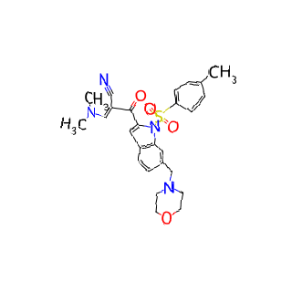 Cc1ccc(S(=O)(=O)n2c(C(=O)/C(C#N)=C/N(C)C)cc3ccc(CN4CCOCC4)cc32)cc1